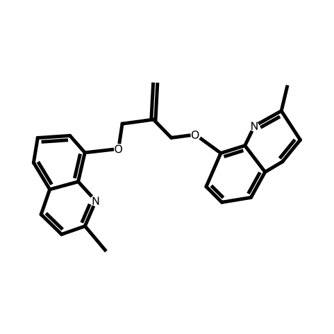 C=C(COc1cccc2ccc(C)nc12)COc1cccc2ccc(C)nc12